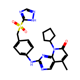 Cc1cc(=O)n(C2CCCC2)c2nc(Nc3ccc(CS(=O)(=O)c4ncn[nH]4)cc3)ncc12